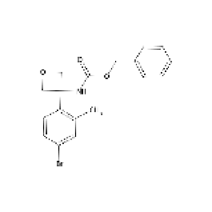 Cc1cc(Br)ccc1C1(NC(=O)OCc2ccccc2)COC1